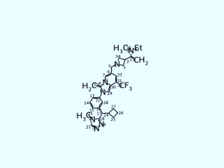 C=C(C1CN(CC2=CN3C(=C)N(c4cccc(C(c5nncn5C)C5CCC5)c4)C=C3C(C(F)(F)F)=C2)C1)N(C)CC